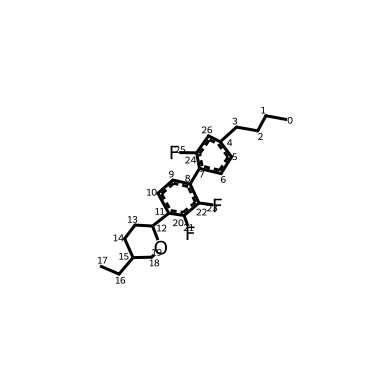 CCCCc1ccc(-c2ccc(C3CCC(CC)CO3)c(F)c2F)c(F)c1